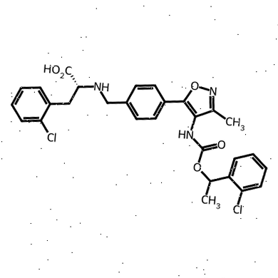 Cc1noc(-c2ccc(CN[C@H](Cc3ccccc3Cl)C(=O)O)cc2)c1NC(=O)OC(C)c1ccccc1Cl